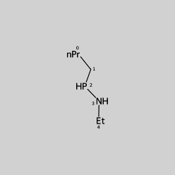 CCCCPNCC